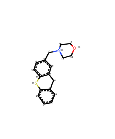 c1ccc2c(c1)Cc1cc(CN3CCOCC3)ccc1S2